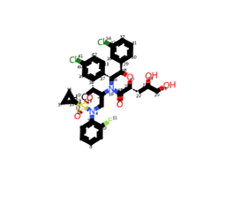 CCC(CN(c1ccccc1F)S(=O)(=O)C1CC1)N1C(=O)[C@@H](CC(O)CO)O[C@H](c2cccc(Cl)c2)[C@H]1c1ccc(Cl)cc1